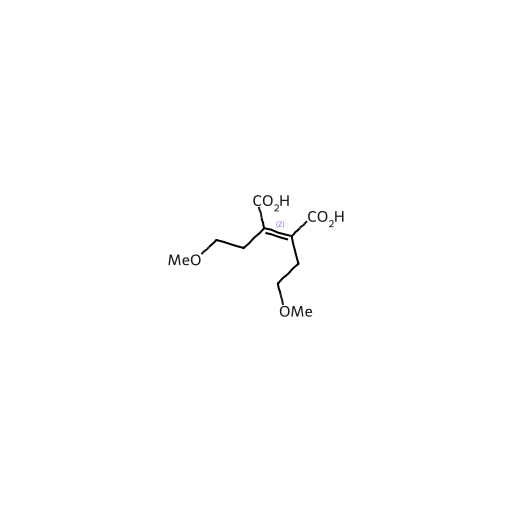 COCC/C(C(=O)O)=C(\CCOC)C(=O)O